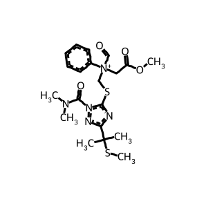 COC(=O)C[N+](C=O)(CSc1nc(C(C)(C)SC)nn1C(=O)N(C)C)c1ccccc1